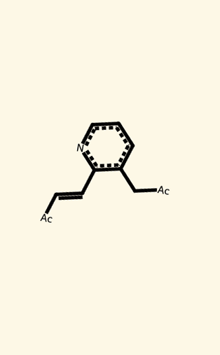 CC(=O)/C=C/c1ncccc1CC(C)=O